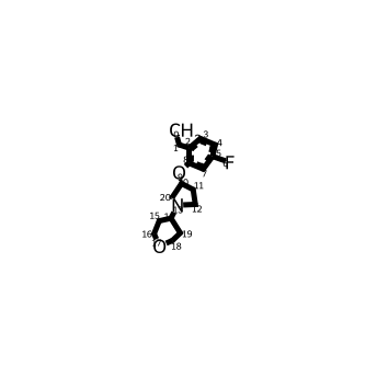 CCc1ccc(F)cc1O[C@H]1CCN(C2CCOCC2)C1